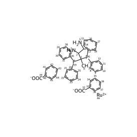 CC(C(N)CN)(P(c1ccccc1)c1ccccc1)P(c1ccccc1)c1ccccc1.O=C([O-])c1ccccc1.O=C([O-])c1ccccc1.[Ru+2]